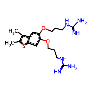 Cc1sc2cc(OCCCNC(=N)N)c(OCCCNC(=N)N)cc2c1C